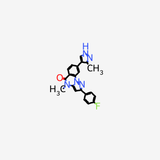 Cc1n[nH]cc1-c1ccc2c(=O)n(C)c3cc(-c4ccc(F)cc4)nn3c2c1